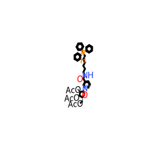 CC(=O)OC[C@H]1O[C@@H]([n+]2cccc(C(=O)NCCCCCC[PH](c3ccccc3)(c3ccccc3)c3ccccc3)c2)[C@H](OC(C)=O)[C@@H]1OC(C)=O